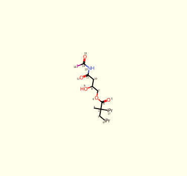 CC(C)CC(C)(C(=O)OCC(O)CC(=O)NC(=O)I)C(C)C